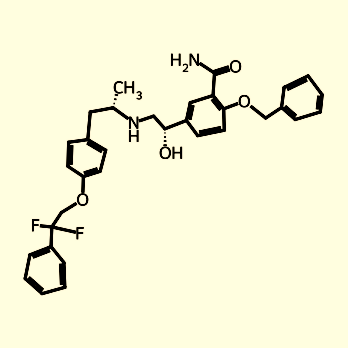 C[C@@H](Cc1ccc(OCC(F)(F)c2ccccc2)cc1)NC[C@@H](O)c1ccc(OCc2ccccc2)c(C(N)=O)c1